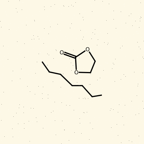 CCCCCCC.O=C1OCCO1